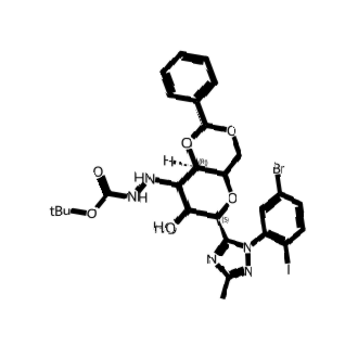 Cc1nc([C@@H]2OC3COC(c4ccccc4)O[C@@H]3C(NNC(=O)OC(C)(C)C)C2O)n(-c2cc(Br)ccc2I)n1